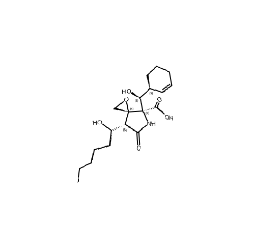 CCCCCC(O)[C@H]1C(=O)N[C@](C(=O)O)([C@@H](O)[C@@H]2C=CCCC2)[C@]12CO2